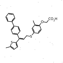 Cc1ccc(C(=CCSc2ccc(OCC(=O)O)c(C)c2)c2ccc(-c3ccccc3)cc2)s1